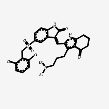 CCN(CC)CCCc1c(C=C2C(=O)Nc3ccc(S(=O)(=O)Cc4c(Cl)cccc4Cl)cc32)[nH]c2c1C(=O)CCC2